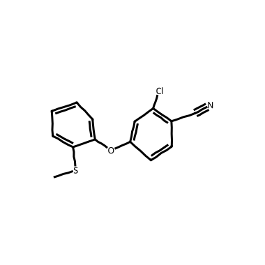 CSc1ccccc1Oc1ccc(C#N)c(Cl)c1